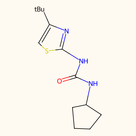 CC(C)(C)c1csc(NC(=O)NC2CCCC2)n1